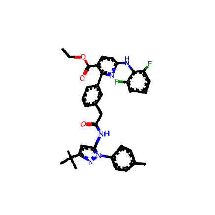 CCOC(=O)c1ccc(Nc2c(F)cccc2F)nc1-c1cccc(CC(=O)Nc2cc(C(C)(C)C)nn2-c2ccc(C)cc2)c1